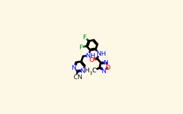 Cc1nonc1C(=O)Nc1ccc(F)c(F)c1NCc1cnc(C#N)nc1